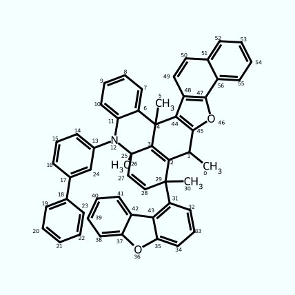 CC1C2=C3C(C)(c4ccccc4N(c4cccc(-c5ccccc5)c4)C3(C)C=CC2(C)c2cccc3oc4ccccc4c23)c2c1oc1c2ccc2ccccc21